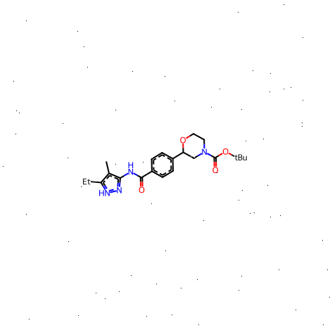 CCc1[nH]nc(NC(=O)c2ccc(C3CN(C(=O)OC(C)(C)C)CCO3)cc2)c1C